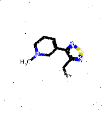 CC(C)Cc1nsnc1C1=CCCN(C)C1